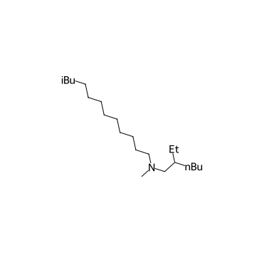 CCCCC(CC)CN(C)CCCCCCCCCC(C)CC